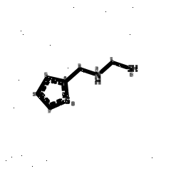 SCNCc1cccs1